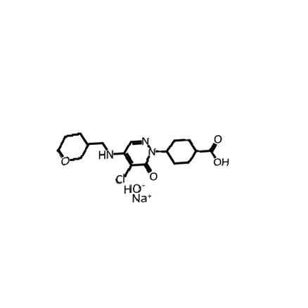 O=C(O)C1CCC(n2ncc(NCC3CCCOC3)c(Cl)c2=O)CC1.[Na+].[OH-]